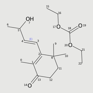 CC1=C(/C=C/C(C)O)C(C)(C)CCC1=O.CCOC(=O)OCC